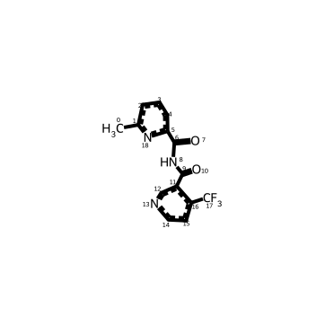 Cc1cccc(C(=O)NC(=O)c2cnccc2C(F)(F)F)n1